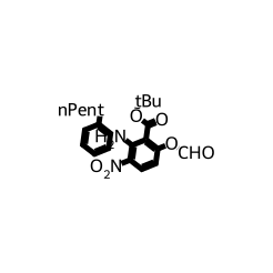 CC(C)(C)OC(=O)c1c(OC=O)ccc([N+](=O)[O-])c1N.CCCCCc1ccccc1